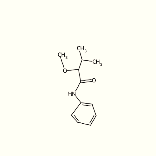 COC(C(=O)Nc1ccccc1)C(C)C